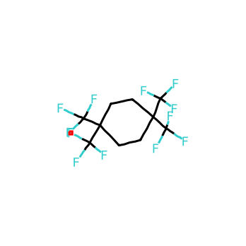 FC(F)(F)C1(C(F)(F)F)CCC(C(F)(F)F)(C(F)(F)F)CC1